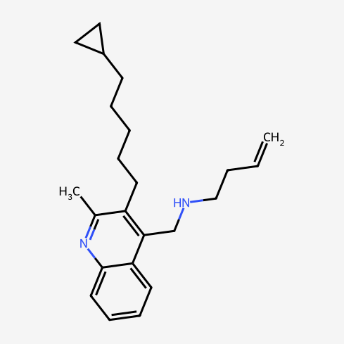 C=CCCNCc1c(CCCCCC2CC2)c(C)nc2ccccc12